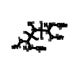 CCCOC([SiH2]OC)C(C)(C)N(CC)C(C)(C)C(OCCC)[SiH2]OC